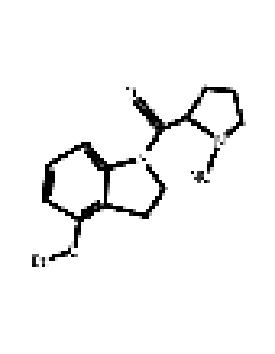 CCOc1cccc2c1CCN2C(=O)C1CCCN1C#N